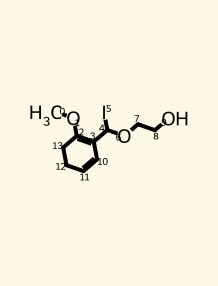 COC1=C(C(I)OCCO)C=CCC1